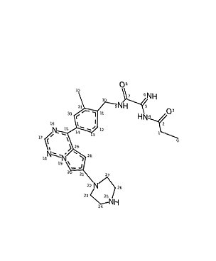 CCC(=O)NC(=N)C(=O)NCc1ccc(-c2ncnn3cc(N4CCNCC4)cc23)cc1C